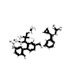 COCC(C)(C)C(OC)c1cc(COc2cccc([C@H](CC(=O)O)C3CC3)c2)ccc1-c1cc(OC)ccc1F